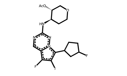 CC(=O)O[C@@H]1COCC[C@H]1Nc1ncc2c(F)c(I)c(C3CCC(F)C3)n2n1